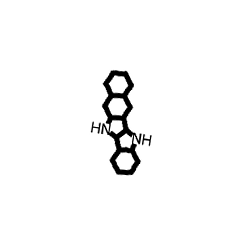 C1CCC2CC3C(CC2C1)NC1C2CCCCC2NC31